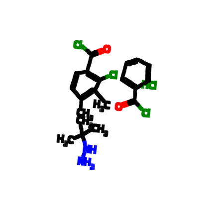 CC(C)(C)NN.Cc1ccc(C(=O)Cl)c(Cl)c1C.Cl.O=C(Cl)c1ccccc1